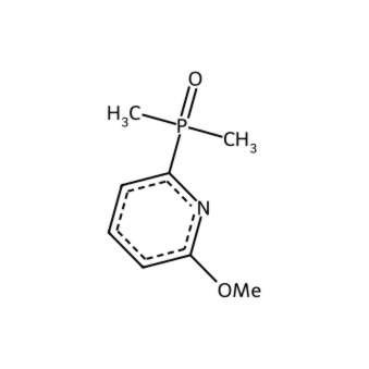 COc1cccc(P(C)(C)=O)n1